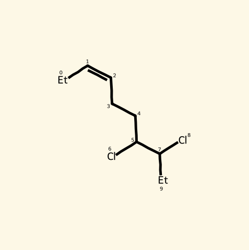 CC/C=C\CCC(Cl)C(Cl)CC